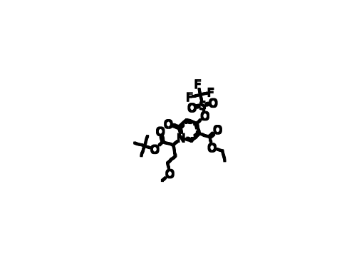 CCOC(=O)c1cn(C(CCOC)C(=O)OC(C)(C)C)c(=O)cc1OS(=O)(=O)C(F)(F)F